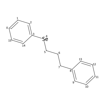 [c]1ccc([Se]CCCc2ccccc2)cc1